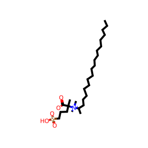 CCCCCCCCCCCCCCCCCCC(C)[N+](C)(C)C(C)(CCCS(=O)(=O)O)C(=O)[O-]